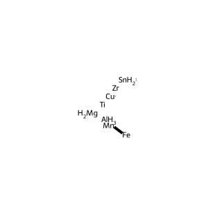 [AlH3].[Cu].[MgH2].[Mn][Fe].[SnH2].[Ti].[Zr]